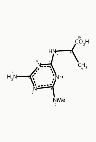 CNc1nc(N)nc(NC(C)C(=O)O)n1